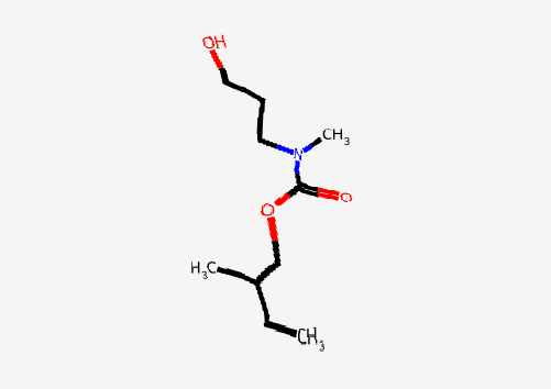 CCC(C)COC(=O)N(C)CCCO